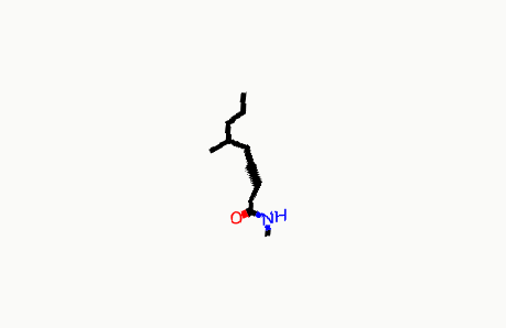 CCCC(C)CCCC(=O)NC